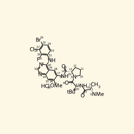 CN[C@@H](C)C(=O)N[C@H](C(=O)N1CCC[C@H]1C(=O)Nc1cc2c(Nc3ccc(Br)c(Cl)c3F)ncnc2cc1OC)C(C)(C)C.Cl